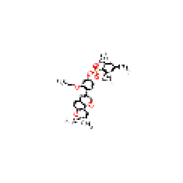 C=CCOc1cc(OS(=O)(=O)c2c(C)cc(C)cc2C)ccc1C1=Cc2ccc3c(c2OC1)C=CC(C)(C)O3